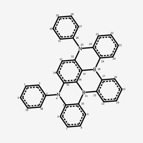 c1ccc(N2c3ccccc3B3c4ccccc4B4c5ccccc5N(c5ccccc5)c5ccc2c3c54)cc1